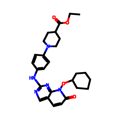 CCOC(=O)C1CCN(c2ccc(Nc3ncc4ccc(=O)n(OC5CCCCC5)c4n3)cc2)CC1